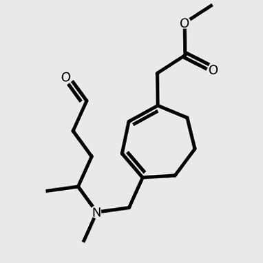 COC(=O)CC1=CC=C(CN(C)C(C)CCC=O)CCC1